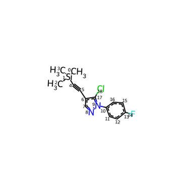 C[Si](C)(C)C#Cc1cnn(-c2ccc(F)cc2)c1Cl